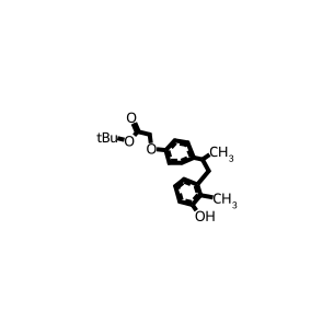 Cc1c(O)cccc1CC(C)c1ccc(OCC(=O)OC(C)(C)C)cc1